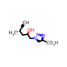 C#C[C@@H](C)CC(O)Cn1cc(C(=O)O)nn1